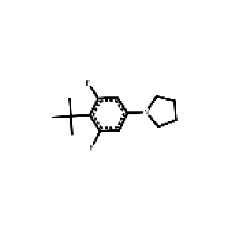 CC(C)(C)c1c(F)cc(N2CCCC2)cc1F